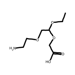 CCOC(COCCN)OCC(=O)O